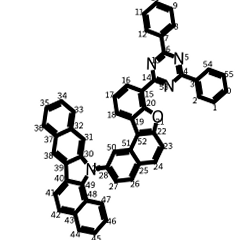 c1ccc(-c2nc(-c3ccccc3)nc(-c3cccc4c3oc3ccc5ccc(-n6c7cc8ccccc8cc7c7ccc8ccccc8c76)cc5c34)n2)cc1